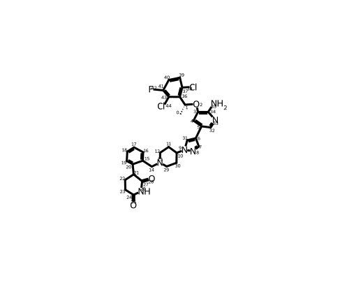 C[C@@H](Oc1cc(-c2cnn(C3CCN(Cc4ccccc4C4CCC(=O)NC4=O)CC3)c2)cnc1N)c1c(Cl)ccc(F)c1Cl